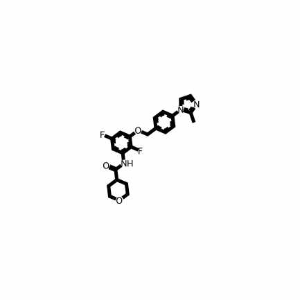 Cc1nccn1-c1ccc(COc2cc(F)cc(NC(=O)C3CCOCC3)c2F)cc1